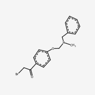 CN(COc1ccc(C(=O)CBr)cc1)Cc1ccccc1